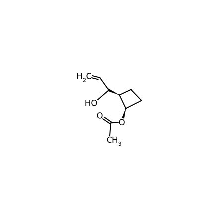 C=CC(O)[C@H]1CC[C@H]1OC(C)=O